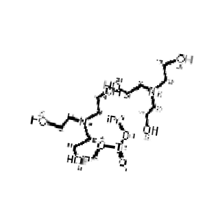 CC(C)[O][Ti](=[O])[O]C(C)C.OCCN(CCO)CCO.OCCN(CCO)CCO